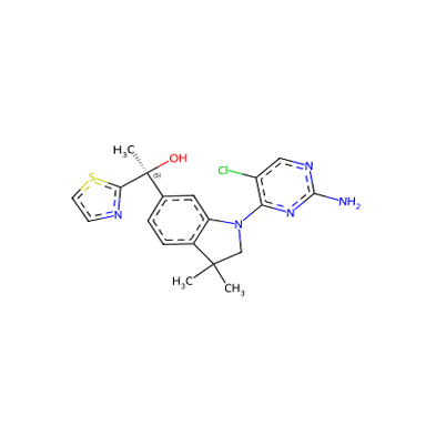 CC1(C)CN(c2nc(N)ncc2Cl)c2cc([C@](C)(O)c3nccs3)ccc21